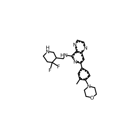 Cc1cc(-c2cc3nccnc3c(NCC3CNCCC3(F)F)n2)ccc1N1CCOCC1